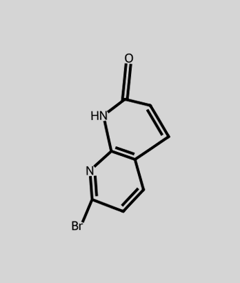 O=c1ccc2ccc(Br)nc2[nH]1